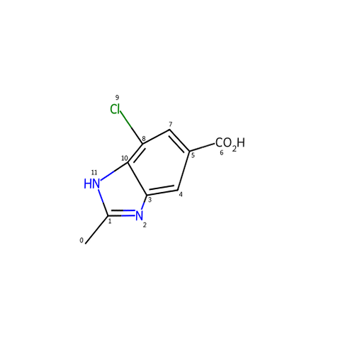 Cc1nc2cc(C(=O)O)cc(Cl)c2[nH]1